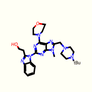 Cn1c(CN2CCN(C(C)(C)C)CC2)nc2c(N3CCOCC3)nc(-n3c(CCO)nc4ccccc43)nc21